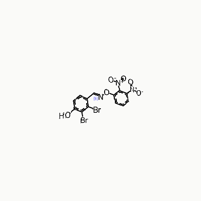 O=[N+]([O-])c1cccc(O/N=C/c2ccc(O)c(Br)c2Br)c1[N+](=O)[O-]